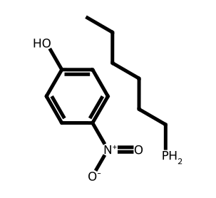 CCCCCCP.O=[N+]([O-])c1ccc(O)cc1